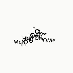 C=CCOc1ccc(F)cc1[C@](O)(CCCCOC)[C@@H]1CCCN(C(=O)NC(CNC)CC(C)C)C1